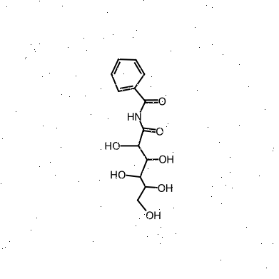 O=C(NC(=O)C(O)C(O)C(O)C(O)CO)c1ccccc1